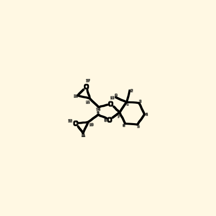 CC1(C)CCCCC1(OCC1CO1)OCC1CO1